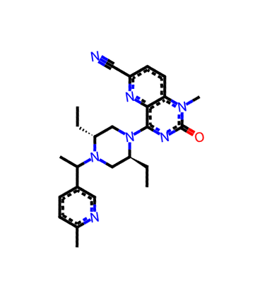 CC[C@H]1CN(C(C)c2ccc(C)nc2)[C@H](CC)CN1c1nc(=O)n(C)c2ccc(C#N)nc12